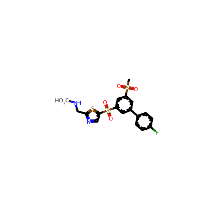 CS(=O)(=O)c1cc(-c2ccc(F)cc2)cc(S(=O)(=O)c2cnc(CNC(=O)O)s2)c1